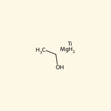 CCO.[MgH2].[Ti]